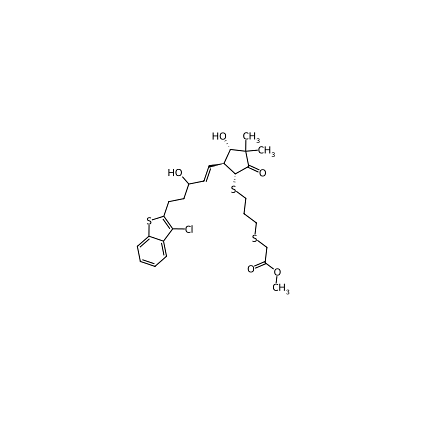 COC(=O)CSCCCS[C@H]1C(=O)C(C)(C)[C@@H](O)[C@@H]1/C=C/C(O)CCc1sc2ccccc2c1Cl